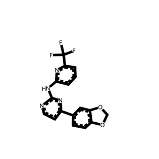 FC(F)(F)c1cccc(Nc2nccc(-c3ccc4c(c3)OCO4)n2)n1